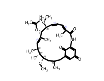 C=C(N)O[C@H]1/C(C)=C/[C@H](C)[C@@H](O)[C@@H](OC)C[C@H](C)CC2=CC(=O)C=C(NC(=O)/C(C)=C/C=C\[C@@H]1OC)C2=O